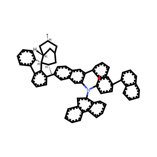 C[C@@H]1CC2C[C@@H](C1)[C@@]1(c3ccccc3-c3cccc(-c4ccc5cc(-c6ccccc6)c(N(c6ccc(-c7cccc8ccccc78)cc6)c6cc7ccccc7c7ccccc67)cc5c4)c31)[C@@H](C)C2